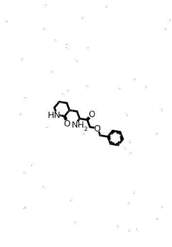 NC(CC1CCCNC1=O)C(=O)COCc1ccccc1